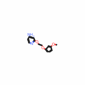 COc1cccc(OCCOc2cc(N)ccn2)c1